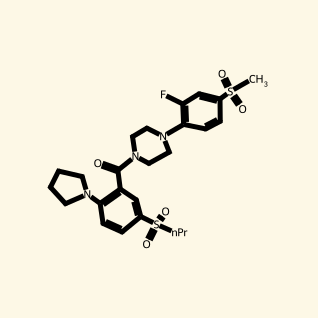 CCCS(=O)(=O)c1ccc(N2CCCC2)c(C(=O)N2CCN(c3ccc(S(C)(=O)=O)cc3F)CC2)c1